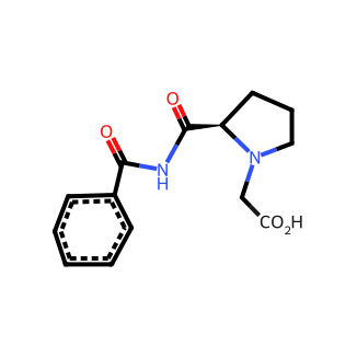 O=C(O)CN1CCC[C@@H]1C(=O)NC(=O)c1ccccc1